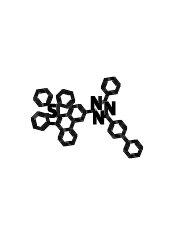 c1ccc(-c2ccc(-c3nc(-c4ccccc4)nc(-c4ccc5c6c(c7ccccc7c5c4)-c4ccccc4[Si]6(c4ccccc4)c4ccccc4)n3)cc2)cc1